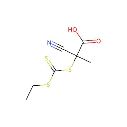 CCSC(=S)SC(C)(C#N)C(=O)O